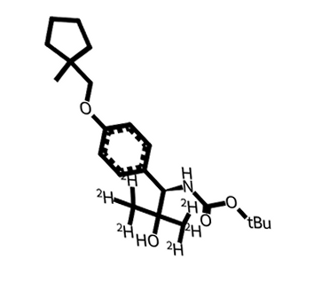 [2H]C([2H])([2H])C(O)([C@H](NC(=O)OC(C)(C)C)c1ccc(OCC2(C)CCCC2)cc1)C([2H])([2H])[2H]